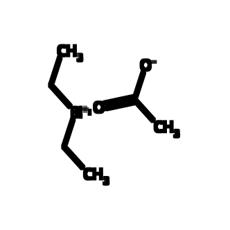 CC(=O)[O-].C[CH2][Bi+][CH2]C